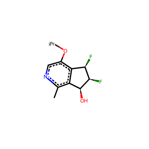 Cc1ncc(OC(C)C)c2c1[C@H](O)[C@H](F)[C@@H]2F